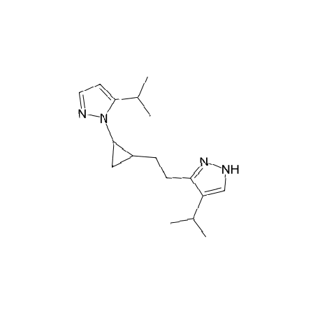 CC(C)c1c[nH]nc1CCC1CC1n1nccc1C(C)C